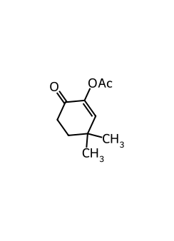 CC(=O)OC1=CC(C)(C)CCC1=O